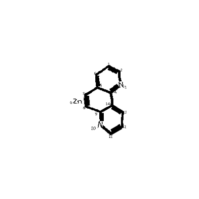 [Zn].c1cnc2c(c1)ccc1ncccc12